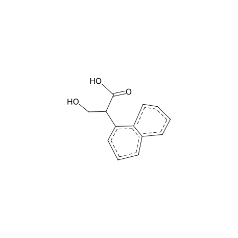 O=C(O)C(CO)c1cccc2ccccc12